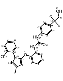 Cc1cc(Oc2ccccc2NC(=O)Nc2ccc(C(C)(C)CO)cc2)n(-c2ccccc2Cl)n1